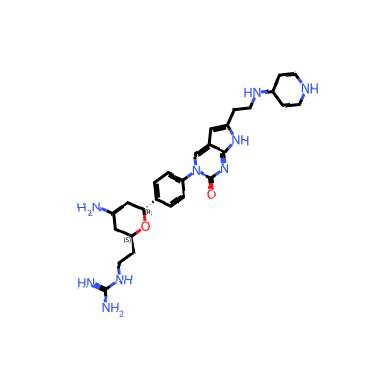 N=C(N)NCC[C@H]1CC(N)C[C@H](c2ccc(-n3cc4cc(CCNC5CCNCC5)[nH]c4nc3=O)cc2)O1